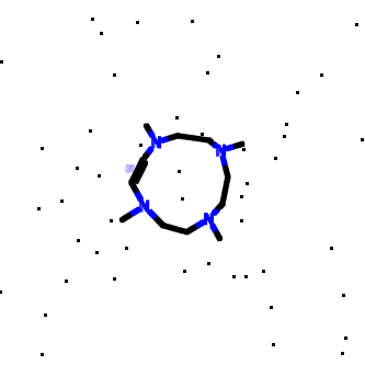 CN1/C=C\N(C)CCN(C)CCN(C)CC1